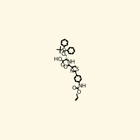 C=CCOC(=O)Nc1ccc(-c2nc(C(=O)N[C@@H](CO[Si](c3ccccc3)(c3ccccc3)C(C)(C)C)C(=O)O)cs2)cc1